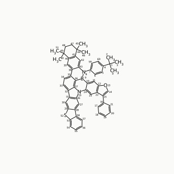 CC(C)(C)c1ccc(N2B3c4cc5occ(-c6ccccc6)c5cc4-n4c5cc6c(cc5c5ccc(c3c54)-c3cc4c(cc32)C(C)(C)CCC4(C)C)sc2ccccc26)cc1